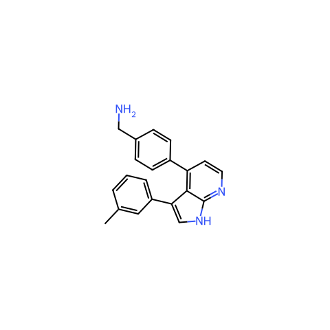 Cc1cccc(-c2c[nH]c3nccc(-c4ccc(CN)cc4)c23)c1